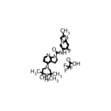 Cc1cn2cc(NC(=O)N3CCc4c(N5CC(C)(C)NC(C)(C)C5)ccnc43)c(F)cc2n1.O=C(O)C(F)(F)F